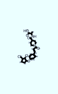 CC(NC(=O)C1CCN(C(=O)C=Cc2ccc(OC3CCC(Cl)C3Cl)cc2)CC1)C(=O)O